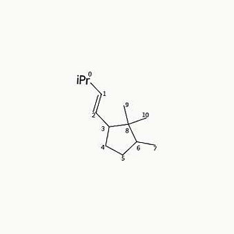 CC(C)C=CC1CCC(C)C1(C)C